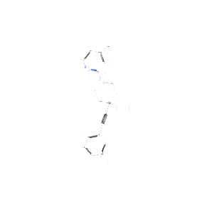 OC1(C#Cc2cccc(Cl)c2)CCN(c2cc(C(F)(F)F)ccn2)CC1